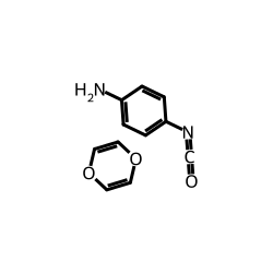 C1=COC=CO1.Nc1ccc(N=C=O)cc1